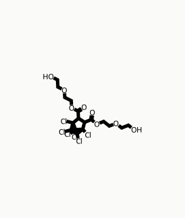 O=C(OCCOCCO)C1C(C(=O)OCCOCCO)C2(Cl)C(Cl)=C(Cl)C1(Cl)C2(Cl)Cl